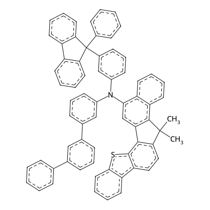 CC1(C)c2ccc3c(sc4ccccc43)c2-c2cc(N(c3cccc(-c4cccc(-c5ccccc5)c4)c3)c3cccc(C4(c5ccccc5)c5ccccc5-c5ccccc54)c3)c3ccccc3c21